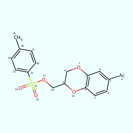 CC(=O)c1ccc2c(c1)OCC(COS(=O)(=O)c1ccc(C)cc1)O2